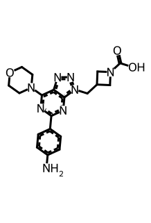 Nc1ccc(-c2nc(N3CCOCC3)c3nnn(CC4CN(C(=O)O)C4)c3n2)cc1